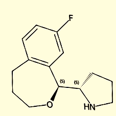 Fc1ccc2c(c1)[C@@H]([C@@H]1CCCN1)OCCC2